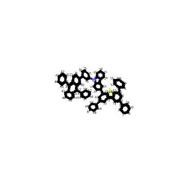 c1ccc(-c2cc(-c3ccccc3)c3sc4c(-c5ccc6c(c5)c5ccccc5n6-c5cccc(-c6ccc7c(-c8ccccc8)c8ccccc8c(-c8ccccc8)c7c6)c5)cc(-c5ccccc5)cc4c3c2)cc1